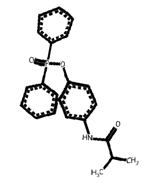 CC(C)C(=O)Nc1ccc(OP(=O)(c2ccccc2)c2ccccc2)cc1